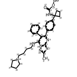 Cc1nc2nc(-c3ccc(C4(NC(=O)OC(C)(C)C)CCC4)cc3)c(-c3ccccc3)c(NCCCCN3CCCC3)n2n1